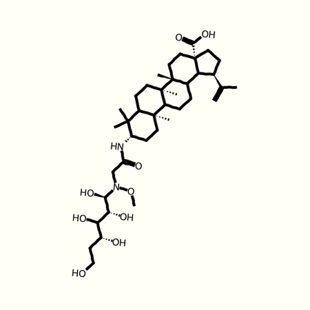 C=C(C)[C@@H]1CC[C@]2(C(=O)O)CC[C@]3(C)C(CCC4[C@@]5(C)CC[C@H](NC(=O)CN(OC)[C@H](O)[C@H](O)C(O)[C@H](O)CCO)C(C)(C)C5CC[C@]43C)C12